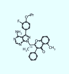 Cc1cccc2oc([C@H](C)n3nc(-c4ccc(OC(C)C)c(F)c4)c4c(N)ncnc43)c(-c3ccccc3)c(=O)c12